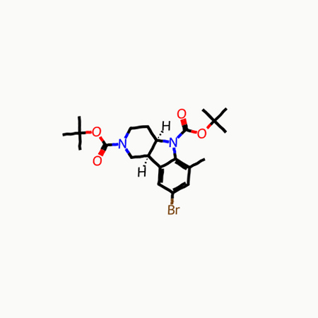 Cc1cc(Br)cc2c1N(C(=O)OC(C)(C)C)[C@@H]1CCN(C(=O)OC(C)(C)C)C[C@H]21